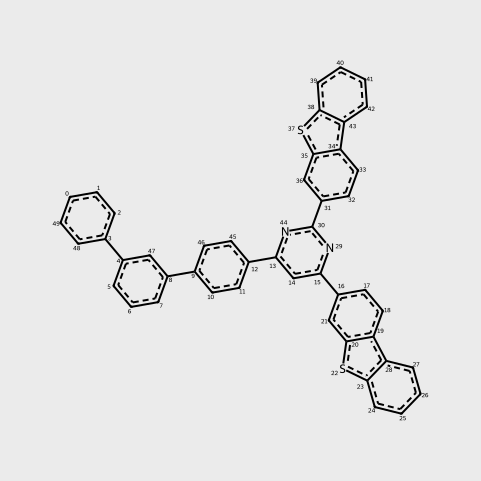 c1ccc(-c2cccc(-c3ccc(-c4cc(-c5ccc6c(c5)sc5ccccc56)nc(-c5ccc6c(c5)sc5ccccc56)n4)cc3)c2)cc1